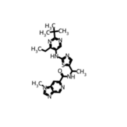 CCc1nc(C(C)(C)C)ncc1Nc1ncc(C(C)NC(=O)c2cc3c(cn2)ncn3C)s1